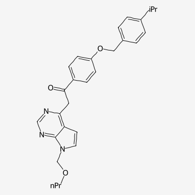 CCCOCn1ccc2c(CC(=O)c3ccc(OCc4ccc(C(C)C)cc4)cc3)ncnc21